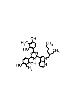 CCCCC(CC)Cn1cc(-c2nc(-c3ccc(O)c(C)c3O)nc(-c3ccc(O)c(C)c3O)n2)c2cccnc21